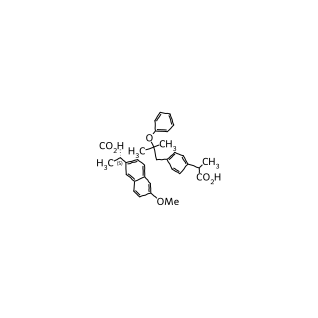 CC(C(=O)O)c1ccc(CC(C)(C)Oc2ccccc2)cc1.COc1ccc2cc([C@H](C)C(=O)O)ccc2c1